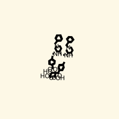 CN[C@H]1CN(Cc2ccccc2)CC[C@H]1C.CN[C@H]1CN(Cc2ccccc2)CC[C@H]1C.Cc1ccc(C(=O)O[C@](C(=O)O)(C(=O)c2ccc(C)cc2)[C@@H](O)C(=O)O)cc1